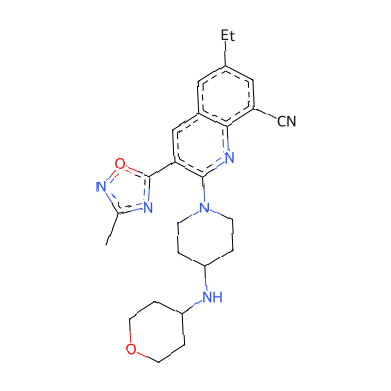 CCc1cc(C#N)c2nc(N3CCC(NC4CCOCC4)CC3)c(-c3nc(C)no3)cc2c1